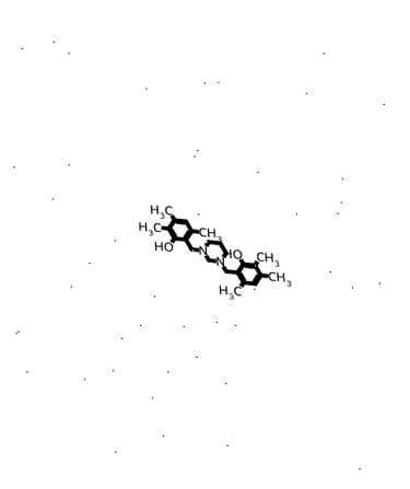 Cc1cc(C)c(CN2CCCN(Cc3c(C)cc(C)c(C)c3O)C2)c(O)c1C